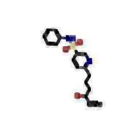 COC(=O)CCCc1ccc(S(=O)(=O)Nc2ccccc2)cn1